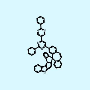 C1=Cc2ccc(-c3cc(-c4cnc(-c5ccccc5)nc4)nc(-c4ccccc4)n3)cc2C2(c3ccccc31)c1ccccc1-c1c2ccc2oc3ccccc3c12